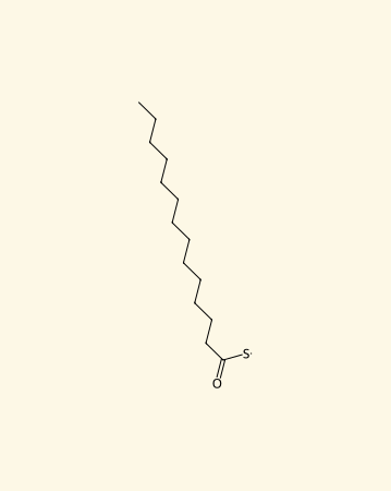 CCCCCCCCCCCCCC(=O)[S]